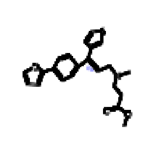 COC(=O)CCN(C)C/C=C(/c1ccc(-c2ccco2)cc1)c1ccsc1